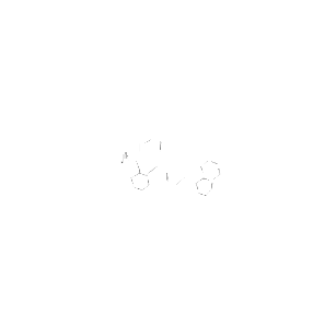 OB(O)C1=c2ccccc2=C(C2=CC=C(c3cccc4ccccc34)CC2)C2C=CC=CC12